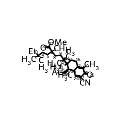 CCC(C)(C)CC[C@@](C)(CCC(C)(C)[C@]1(C)CCC2=C(C)C(=O)C(C#N)=C[C@]2(C)/C1=C/C(C)=O)C(=O)OC